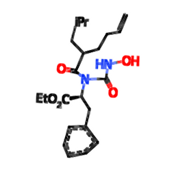 C=CCCC(CC(C)C)C(=O)N(C(=O)NO)[C@@H](Cc1ccccc1)C(=O)OCC